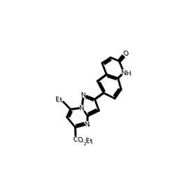 CCOC(=O)c1cc(CC)n2nc(-c3ccc4[nH]c(=O)ccc4c3)cc2n1